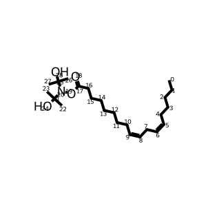 CCCCC/C=C\C/C=C\CCCCCCCC(=O)ON(C(C)(C)O)C(C)(C)O